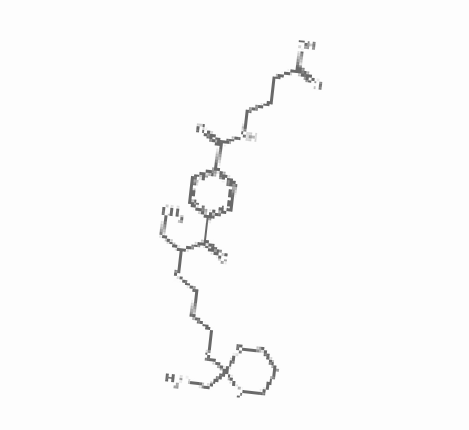 CCC(SCCCSC1(CC)SCCCS1)C(=O)c1ccc(C(=O)NCCCC(=O)O)cc1